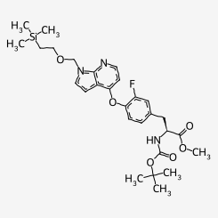 COC(=O)[C@H](Cc1ccc(Oc2ccnc3c2ccn3COCC[Si](C)(C)C)c(F)c1)NC(=O)OC(C)(C)C